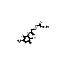 CC(C)(C)OC(=O)NOCC(=O)Oc1c(F)c(F)cc(P)c1P